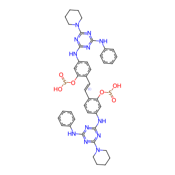 O=S(O)Oc1cc(Nc2nc(Nc3ccccc3)nc(N3CCCCC3)n2)ccc1/C=C/c1ccc(Nc2nc(Nc3ccccc3)nc(N3CCCCC3)n2)cc1OS(=O)O